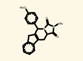 CCCCN1C(=O)C2CC3=C(Cc4ccccc43)C(c3ccc(OC)cc3)N2C1=O